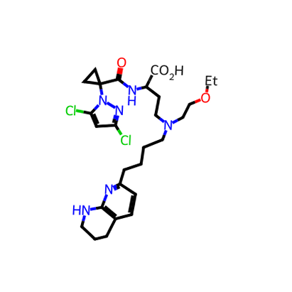 CCOCCN(CCCCc1ccc2c(n1)NCCC2)CCC(NC(=O)C1(n2nc(Cl)cc2Cl)CC1)C(=O)O